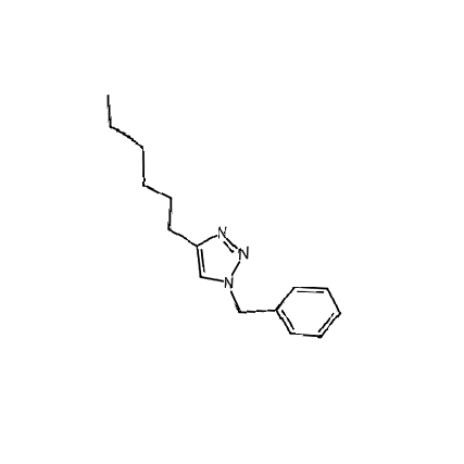 CCCCCCc1cn(Cc2ccccc2)nn1